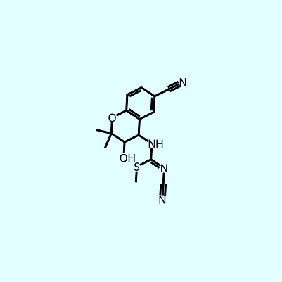 CSC(=NC#N)NC1c2cc(C#N)ccc2OC(C)(C)C1O